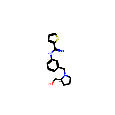 N=C(Nc1cccc(CN2CCC[C@H]2CO)c1)c1cccs1